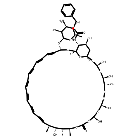 C[C@@H]1[C@H](O)[C@@H](C)/C=C/C=C/C=C/C=C/C=C/C=C/C=C/[C@H](O[C@@H]2O[C@H](C)[C@@H](O)[C@H](N)[C@@H]2O)C[C@@H]2O[C@](O)(C[C@@H](O)C[C@@H](O)[C@H](O)CC[C@@H](O)C[C@@H](O)CC(=O)O[C@H]1C)C[C@H](O)[C@H]2NC(=O)NCc1ccccc1